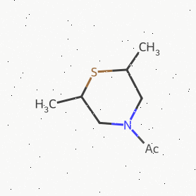 [CH2]C(=O)N1CC(C)SC(C)C1